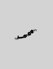 CCCc1ccc([C@H]2CC[C@H](OC[C@H]3CC[C@H](CCC=CC=C(F)C#N)CC3)CC2)cc1